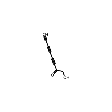 C#CC#CC#CC(=O)CO